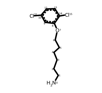 NCCCCCCOc1cc(Cl)ccc1Cl